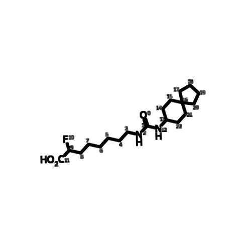 O=C(NCCCCCCC(F)C(=O)O)NC1CCC2(CCCC2)CC1